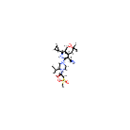 CC(C)C1CN(c2nc(C3CC3)c3c(c2C#N)CC(C)(C)OC3)CCN1C(=O)CS(C)(=O)=O